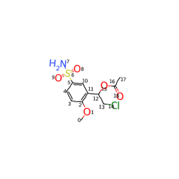 COc1ccc(S(N)(=O)=O)cc1C(CCl)OC(C)=O